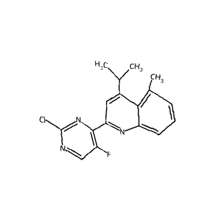 Cc1cccc2nc(-c3nc(Cl)ncc3F)cc(C(C)C)c12